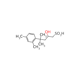 Cc1ccc(C(C)(C)CC(O)CS(=O)(=O)O)c(C)c1